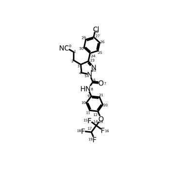 N#CCCC1CN(C(=O)Nc2ccc(OC(F)(F)C(F)F)cc2)N=C1c1ccc(Cl)cc1